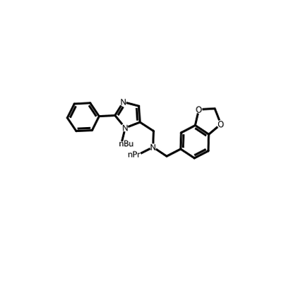 CCCCn1c(CN(CCC)Cc2ccc3c(c2)OCO3)cnc1-c1ccccc1